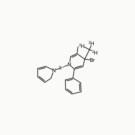 [2H]C([2H])([2H])C1(Br)C=C(c2ccccc2)[N]([Ir+][N]2C=CC=CC2)C=C1C